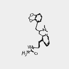 CN(C)C(Cc1cccc2c1OCO2)Cc1ncccc1CCNC(N)=O